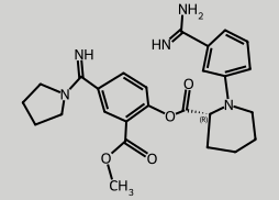 COC(=O)c1cc(C(=N)N2CCCC2)ccc1OC(=O)[C@H]1CCCCN1c1cccc(C(=N)N)c1